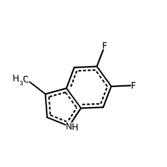 Cc1c[nH]c2cc(F)c(F)cc12